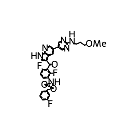 COCCCNc1ncc(-c2cnc3[nH]cc(C(=O)c4c(F)ccc(NS(=O)(=O)c5cccc(F)c5)c4F)c3c2)cn1